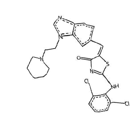 O=C1N=C(Nc2c(Cl)cccc2Cl)SC1=Cc1ccc2ncn(CCN3CCCCC3)c2c1